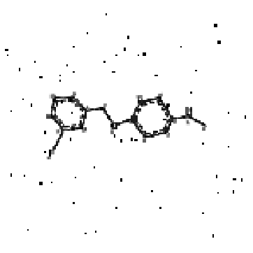 CNc1ccc(OCc2cccc(F)c2)nc1